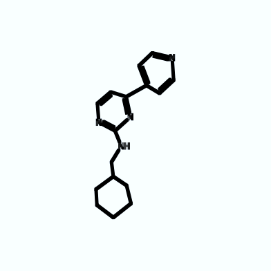 c1cc(-c2ccnc(NCC3CCCCC3)n2)ccn1